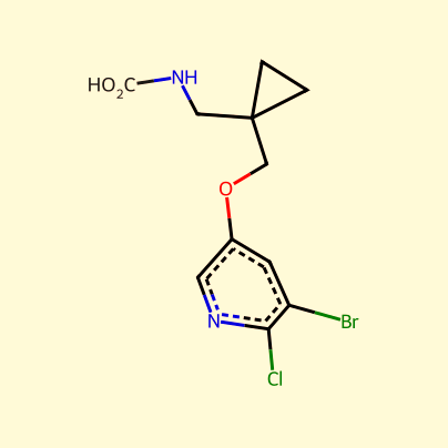 O=C(O)NCC1(COc2cnc(Cl)c(Br)c2)CC1